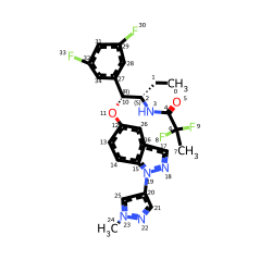 CC[C@H](NC(=O)C(C)(F)F)[C@H](Oc1ccc2c(cnn2-c2cnn(C)c2)c1)c1cc(F)cc(F)c1